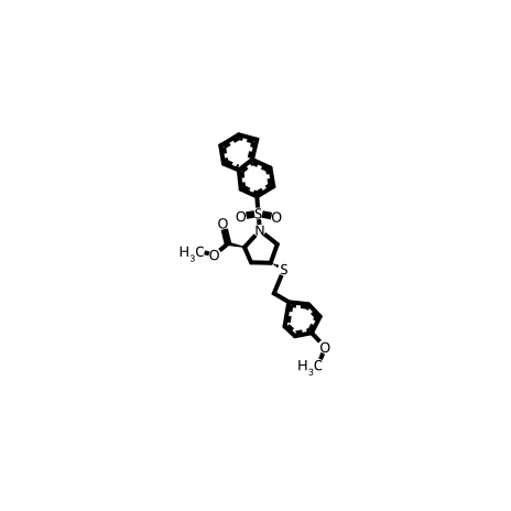 COC(=O)[C@@H]1C[C@@H](SCc2ccc(OC)cc2)CN1S(=O)(=O)c1ccc2ccccc2c1